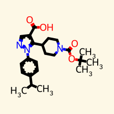 CC(C)c1ccc(-n2ncc(C(=O)O)c2C2CCN(C(=O)OC(C)(C)C)CC2)cc1